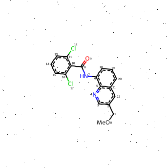 COCc1cnc2c(NC(=O)c3c(Cl)cccc3Cl)cccc2c1